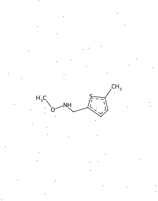 CONCc1ccc(C)s1